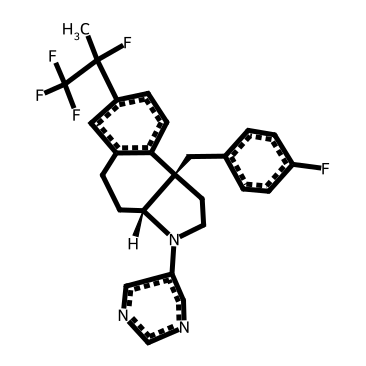 CC(F)(c1ccc2c(c1)CC[C@H]1N(c3cncnc3)CC[C@@]21Cc1ccc(F)cc1)C(F)(F)F